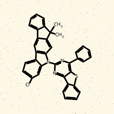 CC1(C)c2ccccc2-c2cc3c4ccc(Cl)cc4n(-c4nc(-c5ccccc5)c5sc6ccccc6c5n4)c3cc21